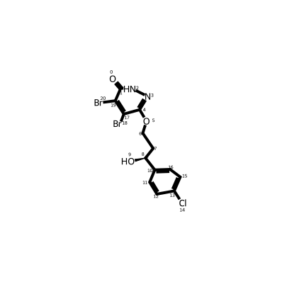 O=c1[nH]nc(OCC[C@H](O)c2ccc(Cl)cc2)c(Br)c1Br